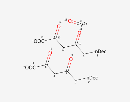 CCCCCCCCCCCC(=O)CC(=O)C(=O)[O-].CCCCCCCCCCCC(=O)CC(=O)C(=O)[O-].[O]=[V+2]